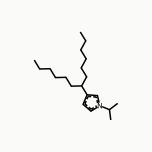 CCCCCCC(CCCCCC)c1ccn(C(C)C)c1